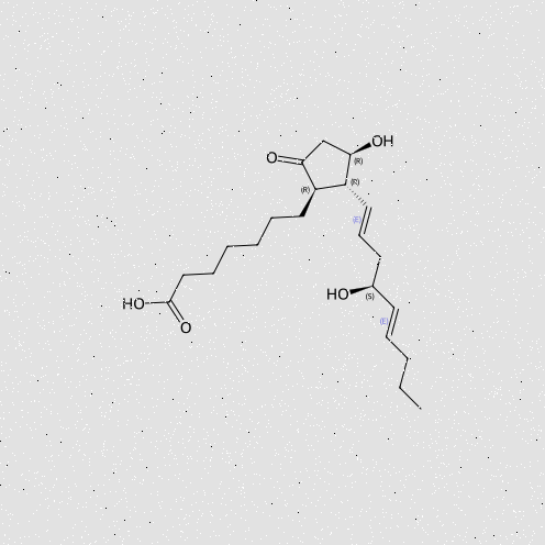 CCC/C=C/[C@@H](O)C/C=C/[C@H]1[C@H](O)CC(=O)[C@@H]1CCCCCCC(=O)O